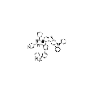 CC1(c2ccccc2)C=CC=C(c2ccc(C3CCC=C4SC5=CC6C(CC5C43)C3=C(CCC=C3)N6C3=CCCC=C3)c(C3N=C(C4C=CN=CC4)N=C(C4CC=CCC4)N3)c2)C1